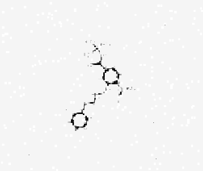 CC(C)(C)OC(=O)c1ccc([N+](=O)[O-])c(CNCCc2ccccc2)c1